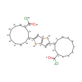 O=C(Cl)C1CCCCCCCCC(c2cc3sc(C4CCCCCCCCC(C(=O)Cl)C4)cc3s2)C1